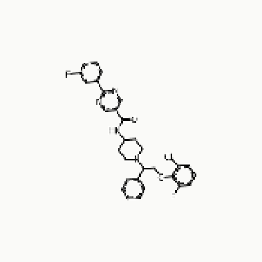 O=C(NC1CCN(C(COc2c(F)cccc2Cl)c2ccccc2)CC1)c1cnc(-c2cccc(F)c2)nc1